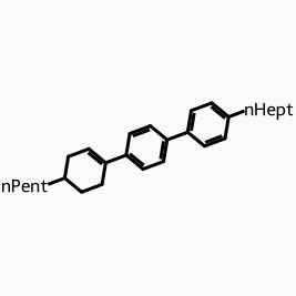 CCCCCCCc1ccc(-c2ccc(C3=CCC(CCCCC)CC3)cc2)cc1